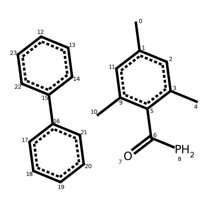 Cc1cc(C)c(C(=O)P)c(C)c1.c1ccc(-c2ccccc2)cc1